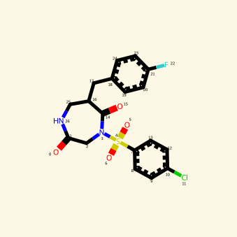 O=C1CN(S(=O)(=O)c2ccc(Cl)cc2)C(=O)C(Cc2ccc(F)cc2)CN1